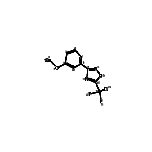 CC(C)(C)Oc1[c]ccc(-c2noc(C(F)(F)Cl)n2)c1